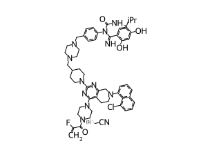 C=C(F)C(=O)N1CCN(c2nc(N3CCC(CN4CCN(Cc5ccc(N(C(=N)c6cc(C(C)C)c(O)cc6O)C(N)=O)cc5)CC4)CC3)nc3c2CCN(c2cccc4cccc(Cl)c24)C3)C[C@@H]1CC#N